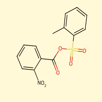 Cc1ccccc1S(=O)(=O)OC(=O)c1ccccc1[N+](=O)[O-]